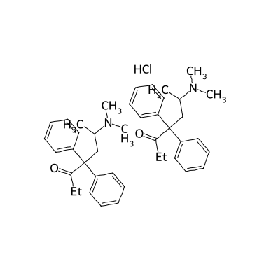 CCC(=O)C(CC(C)N(C)C)(c1ccccc1)c1ccccc1.CCC(=O)C(CC(C)N(C)C)(c1ccccc1)c1ccccc1.Cl